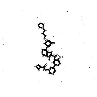 O=C(Nc1cncc(-c2cnc3[nH]nc(-c4cc5c(-c6cc(F)cc(OCCCN7CCCC7)c6)cncc5[nH]4)c3c2)c1)C1CCC1